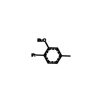 Cc1ccc(C(C)C)c(OCC(C)C)c1